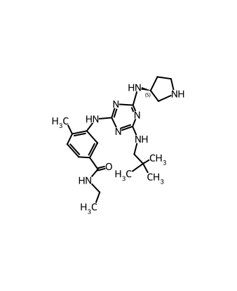 CCNC(=O)c1ccc(C)c(Nc2nc(NCC(C)(C)C)nc(N[C@H]3CCNC3)n2)c1